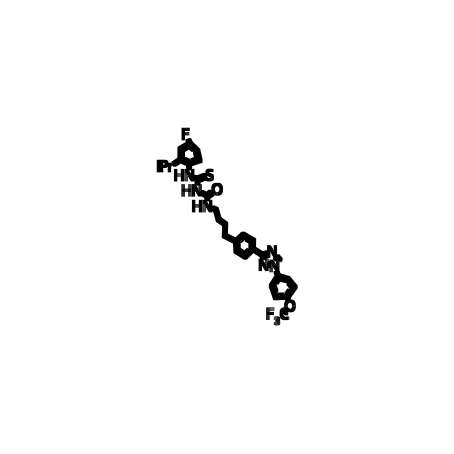 CC(C)c1cc(F)ccc1NC(=S)NC(=O)NCCCCc1ccc(-c2ncn(-c3ccc(OC(F)(F)F)cc3)n2)cc1